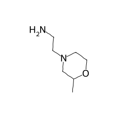 CC1CN(CCN)CCO1